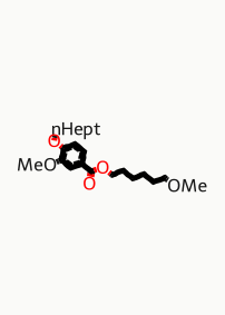 CCCCCCCOc1ccc(C(=O)OCCCCCCOC)cc1OC